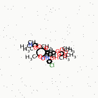 CC[C@H]1CCC[C@H](O[C@H]2CC[C@H](N(C)C)C(C)O2)[C@@H](C)C(=O)C2=C[C@H]3[C@@H]4C[C@H](O[C@@H]5OC(C)[C@H](OC)C(OC)C5OC)C[C@H]4[C@@H](O)[C@H](Nc4ccc(Cl)cc4)[C@H]3[C@@H]2CC(=O)O1